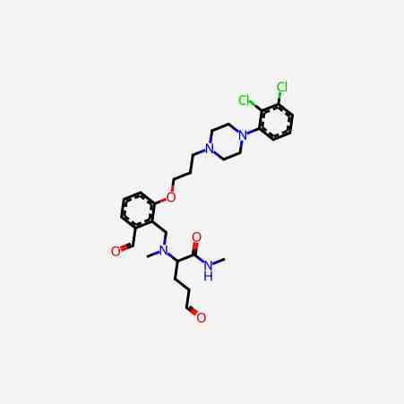 CNC(=O)C(CCC=O)N(C)Cc1c(C=O)cccc1OCCCN1CCN(c2cccc(Cl)c2Cl)CC1